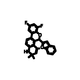 CC1=CC(C)(C)Nc2ccc3c(c21)C(c1cc2ccccc2o1)Oc1c(F)cc(F)cc1-3